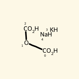 O=C(O)OC(=O)O.[KH].[NaH]